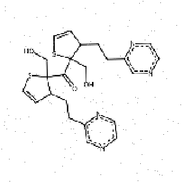 O=C(C1(CO)SC=CC1CCc1cnccn1)C1(CO)SC=CC1CCc1cnccn1